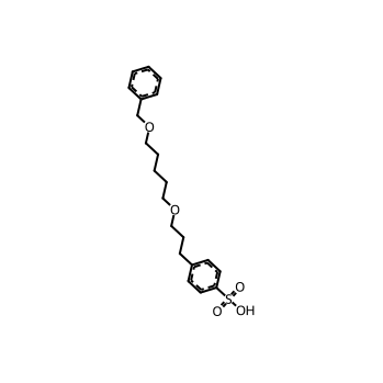 O=S(=O)(O)c1ccc(CCCOCCCCCOCc2ccccc2)cc1